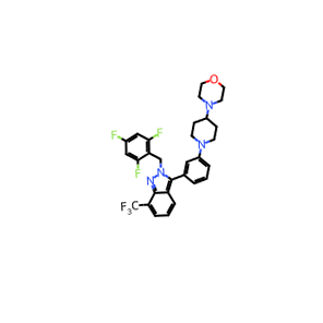 Fc1cc(F)c(Cn2nc3c(C(F)(F)F)cccc3c2-c2cccc(N3CCC(N4CCOCC4)CC3)c2)c(F)c1